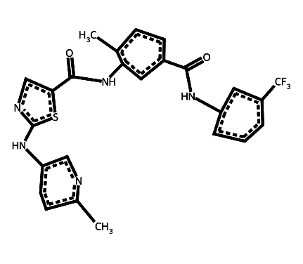 Cc1ccc(Nc2ncc(C(=O)Nc3cc(C(=O)Nc4cccc(C(F)(F)F)c4)ccc3C)s2)cn1